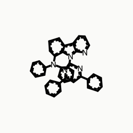 c1ccc(-c2cc(-c3ccccc3)nc(-n3c4ncccc4c4cccc(N(c5ccccc5)c5ccccc5)c43)n2)cc1